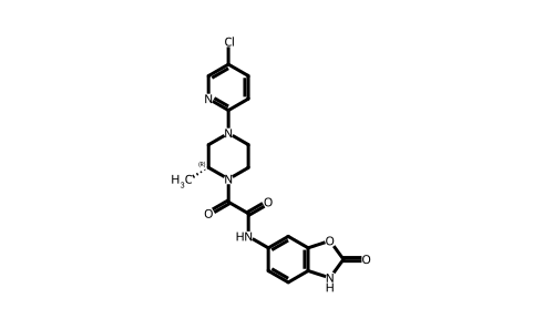 C[C@@H]1CN(c2ccc(Cl)cn2)CCN1C(=O)C(=O)Nc1ccc2[nH]c(=O)oc2c1